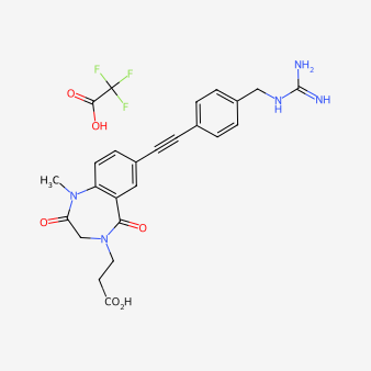 CN1C(=O)CN(CCC(=O)O)C(=O)c2cc(C#Cc3ccc(CNC(=N)N)cc3)ccc21.O=C(O)C(F)(F)F